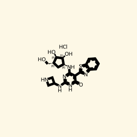 Cl.O=c1[nH]c(NC2CNC2)nc(N[C@@H]2C[C@H](CO)[C@@H](O)[C@H]2O)c1-c1nc2ccccc2s1